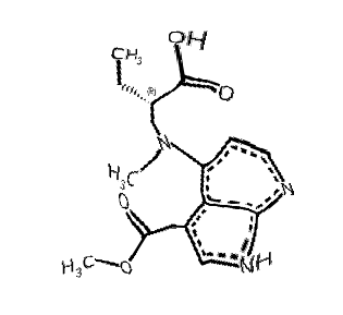 CC[C@H](C(=O)O)N(C)c1ccnc2[nH]cc(C(=O)OC)c12